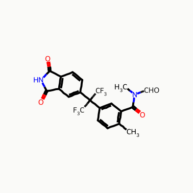 Cc1ccc(C(c2ccc3c(c2)C(=O)NC3=O)(C(F)(F)F)C(F)(F)F)cc1C(=O)N(C)C=O